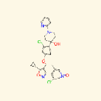 Cc1c[n+]([O-])cc(Cl)c1-c1noc(C2CC2)c1COc1ccc(C2(O)CCN(c3ccccn3)CC2)c(Cl)c1